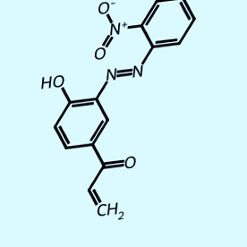 C=CC(=O)c1ccc(O)c(N=Nc2ccccc2[N+](=O)[O-])c1